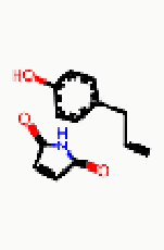 C=CCc1ccc(O)cc1.O=C1C=CC(=O)N1